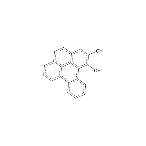 Oc1cc2ccc3cccc4c5ccccc5c(c1O)c2c34